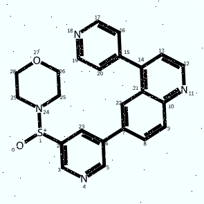 [O-][S+](c1cncc(-c2ccc3nccc(-c4ccncc4)c3c2)c1)N1CCOCC1